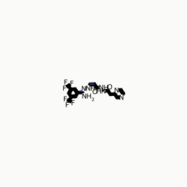 N/C(=N\N/C=C\C(=O)NNC(=O)Cc1cnccn1)c1cc(C(F)(F)F)cc(C(F)(F)F)c1